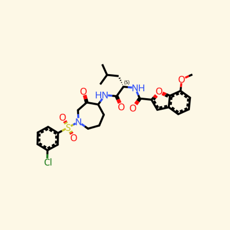 COc1cccc2cc(C(=O)N[C@@H](CC(C)C)C(=O)NC3CCCN(S(=O)(=O)c4cccc(Cl)c4)CC3=O)oc12